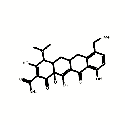 COCc1ccc(O)c2c1CC1CC3C(N(C)C)C(O)=C(C(N)=O)C(=O)C3(O)C(O)=C1C2=O